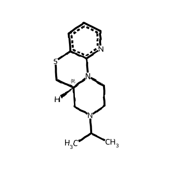 CC(C)N1CCN2c3ncccc3SC[C@H]2C1